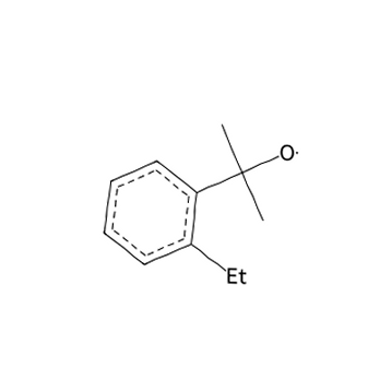 CCc1ccccc1C(C)(C)[O]